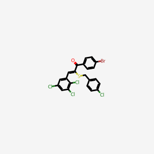 O=C(C(=Cc1cc(Cl)cc(Cl)c1Cl)SCc1ccc(Cl)cc1)c1ccc(Br)cc1